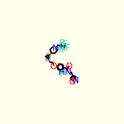 O=C(NCc1cnoc1)c1ccc(OCC[C@@H]2C[C@@H]2C2CCN(CC(F)(F)C(F)(F)F)CC2)cc1F